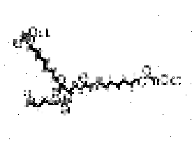 CCCCCCCCC(=O)OCCCCCCCOC(=O)CCC(OC(=O)OCCCN(C)C)C(=O)OCCCCCCCOC(=O)CCCCCCCC